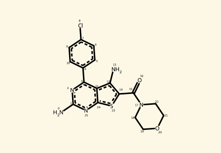 Nc1nc(-c2ccc(Cl)cc2)c2c(N)c(C(=O)N3CCOCC3)sc2n1